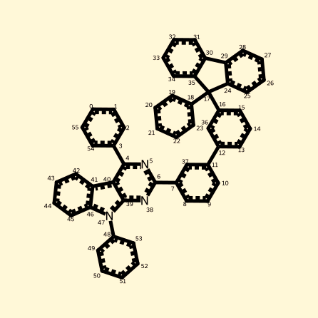 c1ccc(-c2nc(-c3cccc(-c4cccc(C5(c6ccccc6)c6ccccc6-c6ccccc65)c4)c3)nc3c2c2ccccc2n3-c2ccccc2)cc1